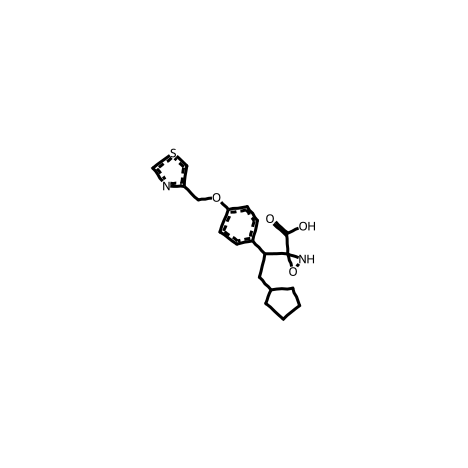 O=C(O)C1(C(CC2CCCC2)c2ccc(OCc3cscn3)cc2)NO1